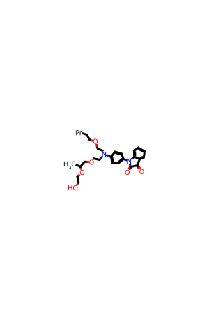 CC(C)CCOCCN(CCOCC(C)OCCO)c1ccc(N2C(=O)C(=O)c3ccccc32)cc1